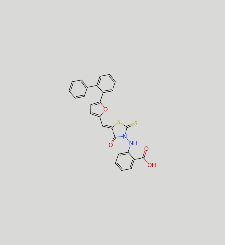 O=C(O)c1ccccc1NN1C(=O)C(=Cc2ccc(-c3ccccc3-c3ccccc3)o2)SC1=S